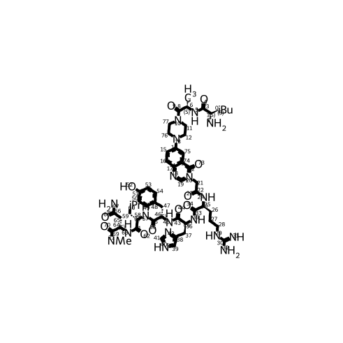 CC[C@H](C)[C@H](N)C(=O)N[C@@H](C)C(=O)N1CCN(c2ccc3ncn(CC(=O)N[C@@H](CCCNC(=N)N)C(=O)N[C@@H](Cc4c[nH]cn4)C(=O)N[C@@H](Cc4ccc(O)cc4)C(=O)N[C@@H](CC(C)C)C(=O)N[C@@H](CC(N)=O)C(=O)NC)c(=O)c3c2)CC1